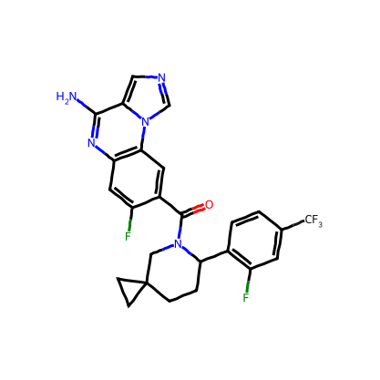 Nc1nc2cc(F)c(C(=O)N3CC4(CCC3c3ccc(C(F)(F)F)cc3F)CC4)cc2n2cncc12